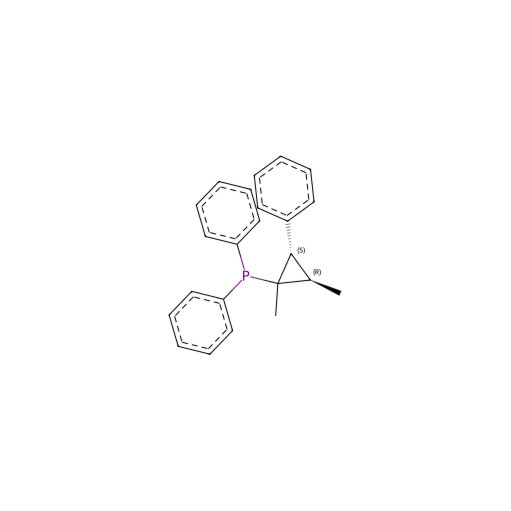 C[C@@H]1[C@@H](c2ccccc2)C1(C)P(c1ccccc1)c1ccccc1